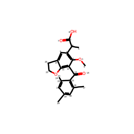 COc1c(C(C)C(=O)O)cc2c(c1C(=O)c1c(C)cc(C)cc1C)OCC2